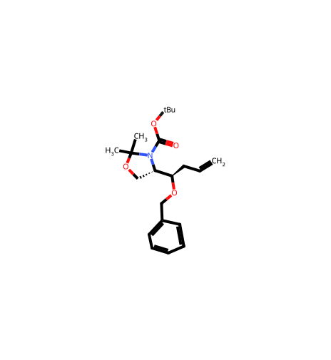 C=CC[C@@H](OCc1ccccc1)[C@@H]1COC(C)(C)N1C(=O)OC(C)(C)C